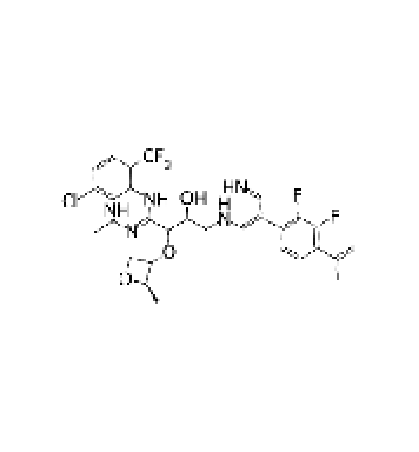 C=C(C)c1ccc(/C(C=N)=C/NC[C@H](O)C(OC2CO[C@@H]2C)/C(=N/C(C)=N)Nc2cc(Cl)ccc2C(F)(F)F)c(F)c1F